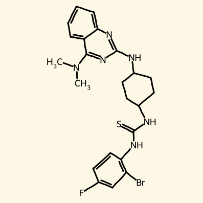 CN(C)c1nc(NC2CCC(NC(=S)Nc3ccc(F)cc3Br)CC2)nc2ccccc12